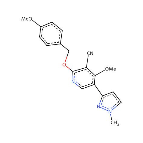 COc1ccc(COc2ncc(-c3ccn(C)n3)c(OC)c2C#N)cc1